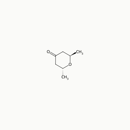 C[C@@H]1CC(=O)C[C@@H](C)O1